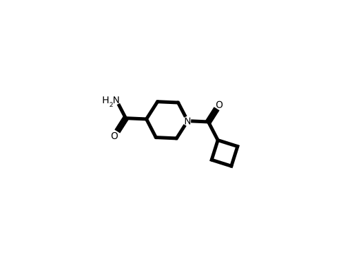 NC(=O)C1CCN(C(=O)C2CCC2)CC1